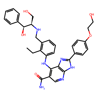 CCc1c(CN[C@H](CO)[C@@H](O)c2ccccc2)cccc1Nc1c(C(N)=O)cnc2[nH]c(-c3ccc(OCCO)cc3)nc12